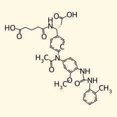 COc1cc(N(C(C)=O)c2ccc([C@@H](CC(=O)O)NC(=O)CCCC(=O)O)cc2)ccc1NC(=O)Nc1ccccc1C